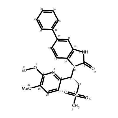 CCOc1nc([C@@H](CS(C)(=O)=O)n2c(=O)[nH]c3cc(-c4ccccc4)ccc32)ccc1OC